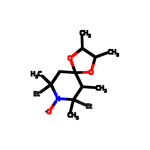 CCC1(C)CC2(OC(C)C(C)O2)C(C)C(C)(CC)N1[O]